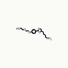 NCCCCC1COC(c2ccc(OCCOCCO)cc2)O1